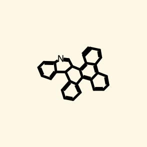 c1ccc2c(c#1)c1c(c3ccccc32)-c2ccccc2C2c3ccccc3N=CC12